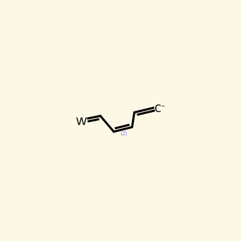 [CH-]=C/C=C\[CH]=[W]